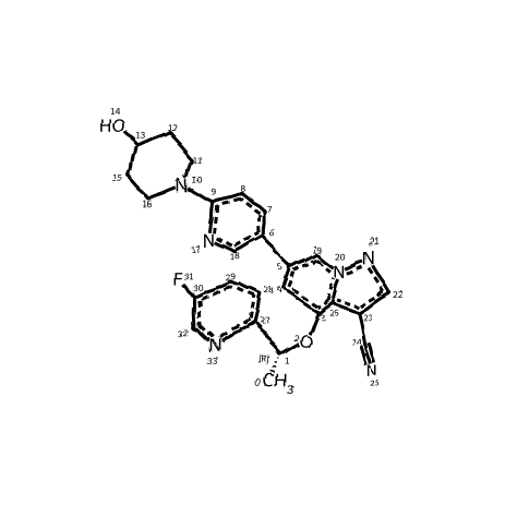 C[C@@H](Oc1cc(-c2ccc(N3CCC(O)CC3)nc2)cn2ncc(C#N)c12)c1ccc(F)cn1